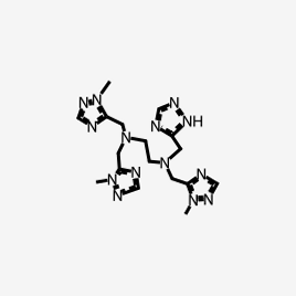 Cn1ncnc1CN(CCN(Cc1ncnn1C)Cc1ncnn1C)Cc1ncn[nH]1